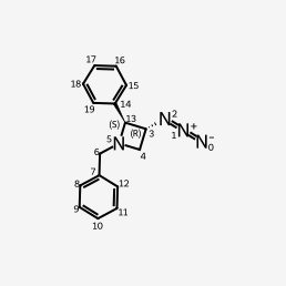 [N-]=[N+]=N[C@@H]1CN(Cc2ccccc2)[C@H]1c1ccccc1